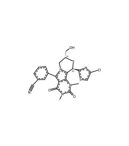 Cn1c(=O)c2c(-c3cccc(C#N)c3)n3c(c2n(C)c1=O)[C@H](c1nc(Cl)cs1)S[C@@H](CO)C3